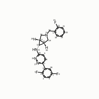 Fc1ccc(F)c(-c2ccc(N[C@@H]3[C@@H]4CN(Cc5ccccc5F)C[C@@H]43)nn2)c1